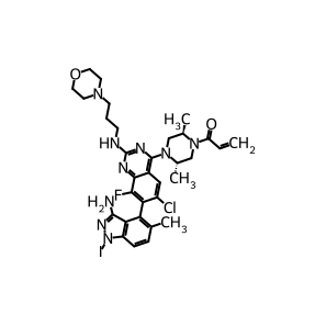 C=CC(=O)N1C[C@H](C)N(c2nc(NCCCN3CCOCC3)nc3c(F)c(-c4c(C)ccc5c4c(N)nn5I)c(Cl)cc23)C[C@H]1C